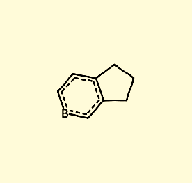 b1ccc2c(c1)CCC2